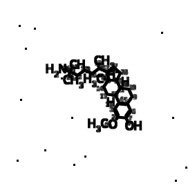 COc1cc2c(cc1O)CC[C@@H]1[C@@H]2CC[C@]2(C)C([C@H](C)CCCC(C)(C)N)=CC[C@@H]12